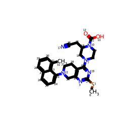 CSc1nc2c(c(N3CCN(C(=O)O)C(CC#N)C3)n1)CCN(c1cccc3cccc(C)c13)C2